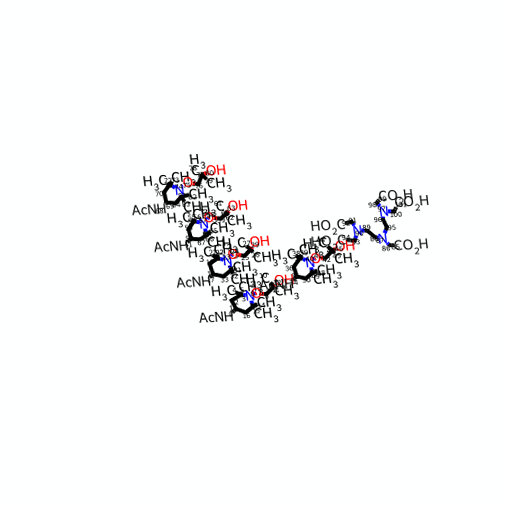 CC(=O)NC1CC(C)(C)N(OCC(C)(C)O)C(C)(C)C1.CC(=O)NC1CC(C)(C)N(OCC(C)(C)O)C(C)(C)C1.CC(=O)NC1CC(C)(C)N(OCC(C)(C)O)C(C)(C)C1.CC(=O)NC1CC(C)(C)N(OCC(C)(C)O)C(C)(C)C1.CC(=O)NC1CC(C)(C)N(OCC(C)(C)O)C(C)(C)C1.O=C(O)CN(CCN(CC(=O)O)CC(=O)O)CCN(CC(=O)O)CC(=O)O